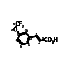 O=C(O)C=Cc1cc[c]c(OC(F)(F)F)c1